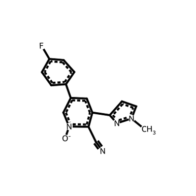 Cn1ccc(-c2cc(-c3ccc(F)cc3)c[n+]([O-])c2C#N)n1